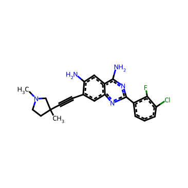 CN1CCC(C)(C#Cc2cc3nc(-c4cccc(Cl)c4F)nc(N)c3cc2N)C1